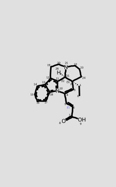 CC[C@@]12C=C(/C=C/C(=O)O)n3c4c(c5ccccc53)CCN(CCC1)[C@H]42